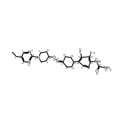 CCc1cnc(N2CCC(ON=C3CCC(c4ccc(NC(N)=O)c(F)c4F)CC3)CC2)nc1